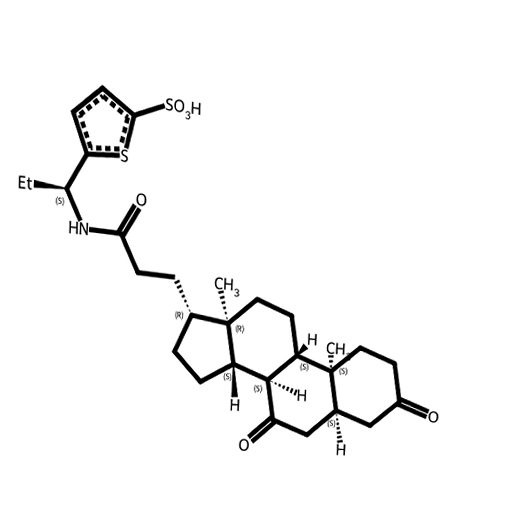 CC[C@H](NC(=O)CC[C@H]1CC[C@H]2[C@@H]3C(=O)C[C@@H]4CC(=O)CC[C@]4(C)[C@H]3CC[C@]12C)c1ccc(S(=O)(=O)O)s1